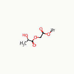 CC(C)OC(=O)COC(=O)C(C)O